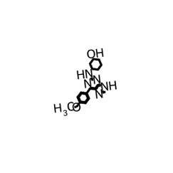 COc1ccc(-c2nc(NC3CCCC(O)C3)nc3[nH]cnc23)cc1